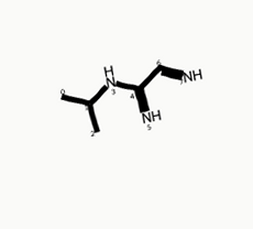 CC(C)NC(=N)C=N